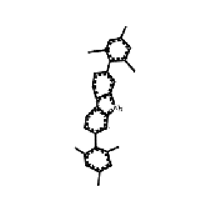 Cc1cc(C)c(-c2[c]c3[nH]c4cc(-c5c(C)cc(C)cc5C)ccc4c3cc2)c(C)c1